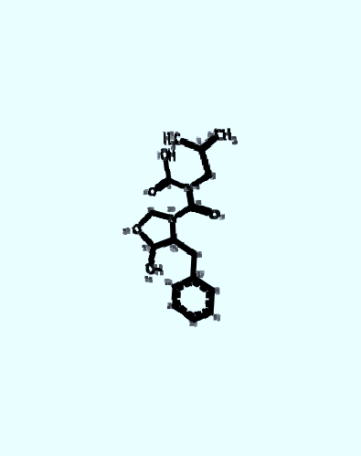 CC(C)CN(C(=O)O)C(=O)N1COC(O)C1Cc1ccccc1